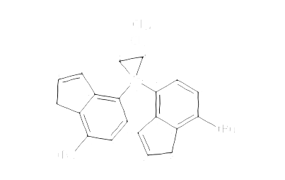 CC(C)(C)c1cc[c]([Zr+2]2([c]3ccc(C(C)(C)C)c4c3C=CC4)[CH2][CH2]2)c2c1CC=C2.[Cl-].[Cl-]